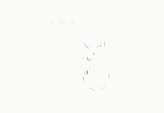 CCCCC/C=C\C/C=C\C/C=C\C/C=C\CCCC(=O)O[C@H](CO)COCCCCCCCCCCCCCCCC